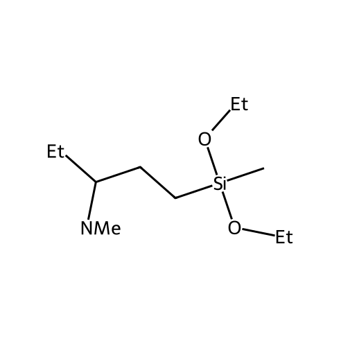 CCO[Si](C)(CCC(CC)NC)OCC